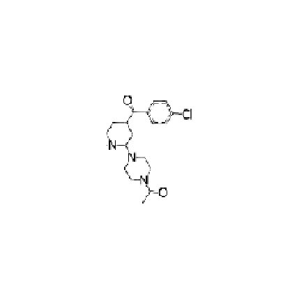 CC(=O)N1CCN(C2CC(C(=O)c3ccc(Cl)cc3)CC[N]2)CC1